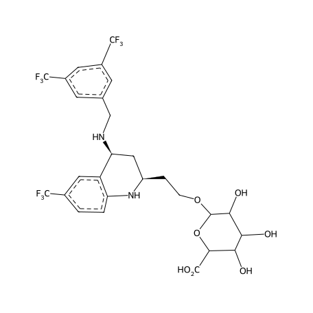 O=C(O)C1OC(OCC[C@@H]2C[C@H](NCc3cc(C(F)(F)F)cc(C(F)(F)F)c3)c3cc(C(F)(F)F)ccc3N2)C(O)C(O)C1O